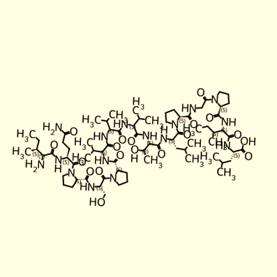 CC[C@H](C)[C@H](N)C(=O)N[C@@H](CCC(N)=O)C(=O)N1CCC[C@H]1C(=O)N[C@@H](CO)C(=O)N1CCC[C@H]1C(=O)N[C@H](C(=O)N[C@H](C(=O)N[C@H](C(=O)N[C@H](C(=O)N[C@@H](CC(C)C)C(=O)N1CCC[C@H]1C(=O)NCC(=O)N1CCC[C@H]1C(=O)N[C@H](C(=O)N[C@@H](CC(C)C)C(=O)O)[C@@H](C)CC)[C@@H](C)O)C(C)C)C(C)C)C(C)C